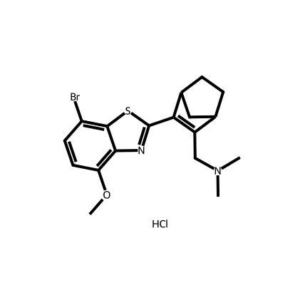 COc1ccc(Br)c2sc(C3=C(CN(C)C)C4CCC3C4)nc12.Cl